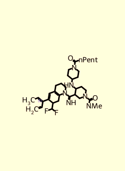 C=C/C(=C\C)C1=CC2=C(CC1C(F)F)N(C(=N)C1CN(C(=O)NC)CCC1NC1CCN(C(=O)CCCCC)CC1)CCC2